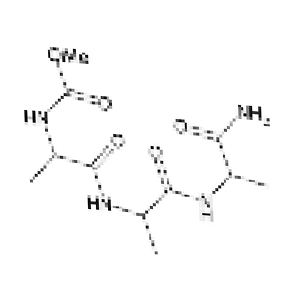 COC(=O)NC(C)C(=O)NC(C)C(=O)NC(C)C(N)=O